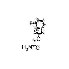 NC(=O)COc1nc2cccc(F)c2s1